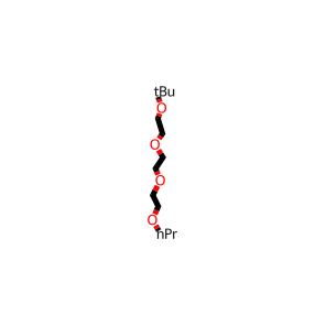 CCCOCCOCCOCCOC(C)(C)C